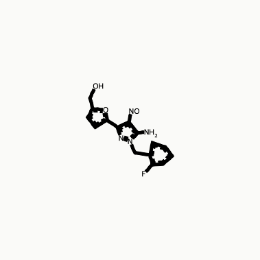 Nc1c(N=O)c(-c2ccc(CO)o2)nn1Cc1ccccc1F